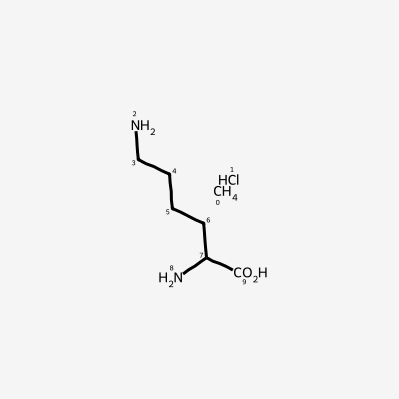 C.Cl.NCCCCC(N)C(=O)O